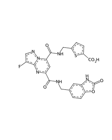 O=C(NCc1ccc2oc(=O)[nH]c2c1)c1cc(C(=O)NCc2ccc(C(=O)O)s2)n2ncc(F)c2n1